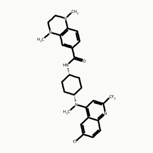 CN1CCN(C)c2cc(C(=O)N[C@H]3CC[C@@H](N(C)c4cc(C(F)(F)F)nc5ccc(Cl)cc45)CC3)ccc21